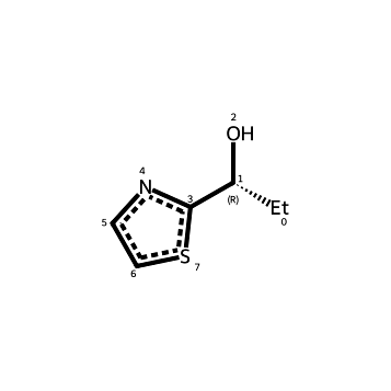 [CH2]C[C@@H](O)c1nccs1